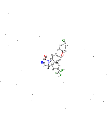 CC1(c2cccc(C(F)(F)F)c2)CNC(=O)N1c1ccc(Oc2ccc(Cl)cc2)cc1